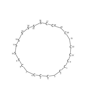 C1CCCCCCCCSSSSSSSSCCCCCCC1